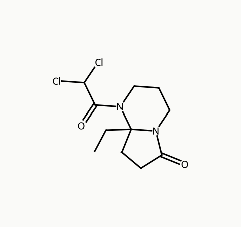 CCC12CCC(=O)N1CCCN2C(=O)C(Cl)Cl